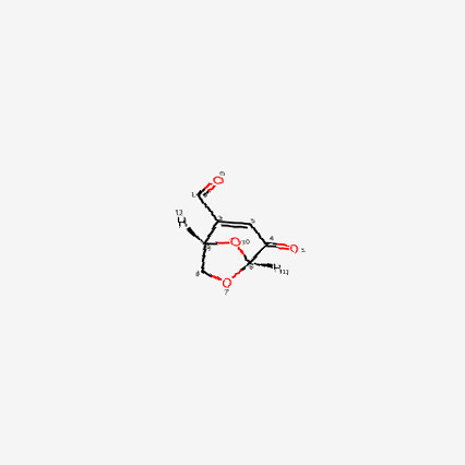 O=CC1=CC(=O)[C@@H]2OC[C@H]1O2